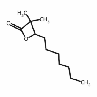 CCCCCCCC1OC(=O)C1(C)C